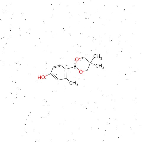 Cc1cc(O)ccc1B1OCC(C)(C)CO1